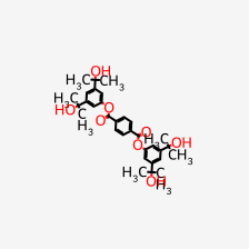 CC(C)(O)c1cc(OC(=O)c2ccc(C(=O)Oc3cc(C(C)(C)O)cc(C(C)(C)O)c3)cc2)cc(C(C)(C)O)c1